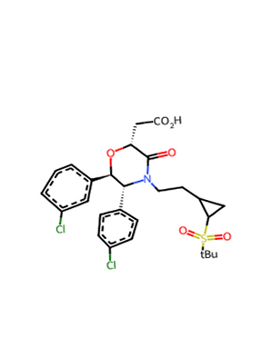 CC(C)(C)S(=O)(=O)C1CC1CCN1C(=O)[C@@H](CC(=O)O)O[C@H](c2cccc(Cl)c2)[C@H]1c1ccc(Cl)cc1